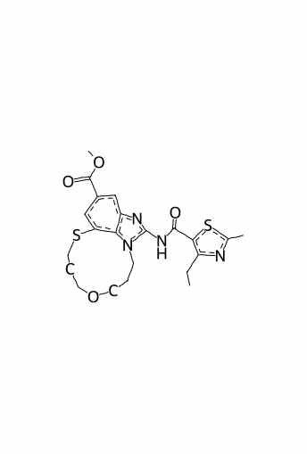 CCc1nc(C)sc1C(=O)Nc1nc2cc(C(=O)OC)cc3c2n1CCCOCCCS3